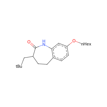 CCCCCCOc1ccc2c(c1)NC(=O)C(CC(C)(C)C)CC2